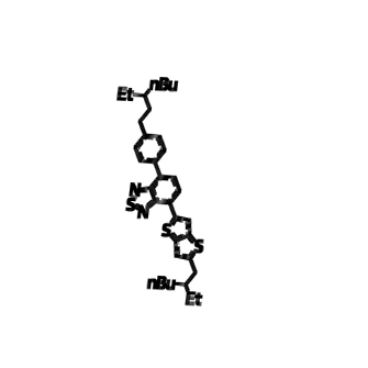 CCCCC(CC)CCc1ccc(-c2ccc(-c3cc4sc(CC(CC)CCCC)cc4s3)c3nsnc23)cc1